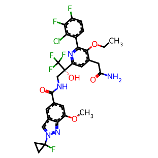 CCOc1c(CC(N)=O)cc([C@@](O)(CNC(=O)c2cc(OC)c3nn(C4(F)CC4)cc3c2)C(F)(F)F)nc1-c1ccc(F)c(F)c1Cl